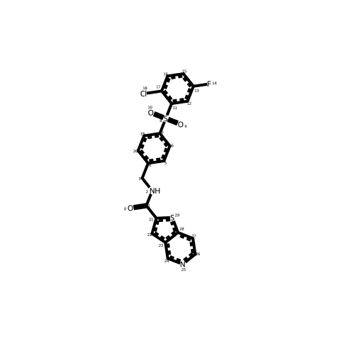 O=C(NCc1ccc(S(=O)(=O)c2cc(F)ccc2Cl)cc1)c1cc2cnccc2s1